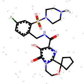 CN1CCN(S(=O)(=O)c2cc(F)ccc2CNC(=O)c2nc3n(c(=O)c2O)CCOC32CCCC2)CC1